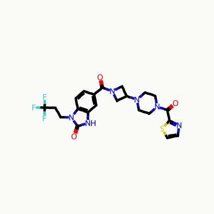 O=C(c1ccc2c(c1)[nH]c(=O)n2CCC(F)(F)F)N1CC(N2CCN(C(=O)c3nccs3)CC2)C1